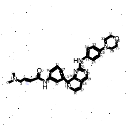 CN(C)C/C=C/C(=O)Nc1cccc(-c2nccc3cnc(Nc4ccc(N5CCOCC5)cc4)nc23)c1